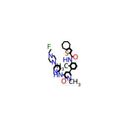 Cc1c(NC(=O)c2cc3c(s2)CCCCC3)cccc1-c1cc(Nc2ccc(N3CCN(CCF)CC3)cn2)c(=O)n(C)c1